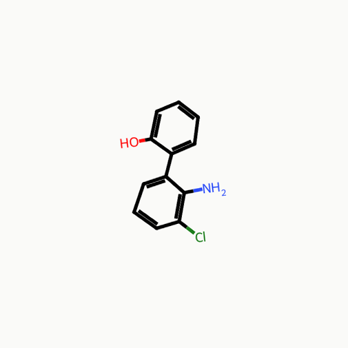 Nc1c(Cl)cccc1-c1ccccc1O